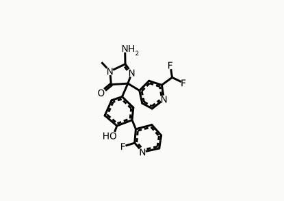 CN1C(=O)C(c2ccnc(C(F)F)c2)(c2ccc(O)c(-c3cccnc3F)c2)N=C1N